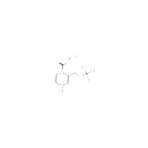 [2H]C([2H])([2H])OCC1CNCCN1C(=O)OC(C)(C)C